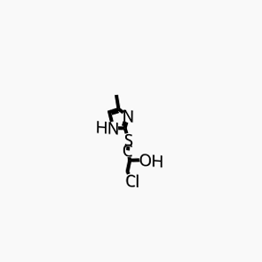 Cc1c[nH]c(SCC(O)CCl)n1